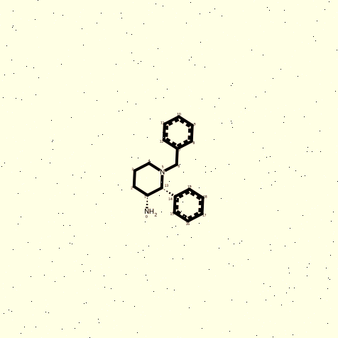 N[C@@H]1CCCN(Cc2ccccc2)[C@@H]1c1ccccc1